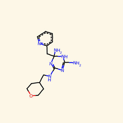 NC1=NC(NCC2CCOCC2)=NC(N)(Cc2ccccn2)N1